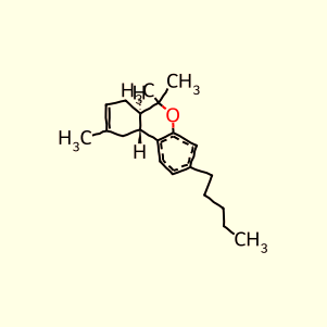 CCCCCc1ccc2c(c1)OC(C)(C)[C@@H]1CC=C(C)C[C@@H]21